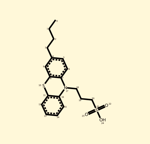 CCCCc1ccc2c(c1)Sc1ccccc1N2CCCS(=O)(=O)O